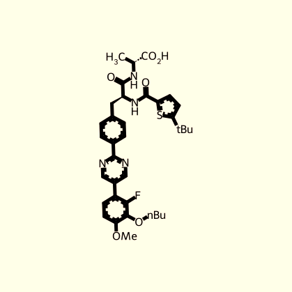 CCCCOc1c(OC)ccc(-c2cnc(-c3ccc(C[C@H](NC(=O)c4ccc(C(C)(C)C)s4)C(=O)N[C@H](C)C(=O)O)cc3)nc2)c1F